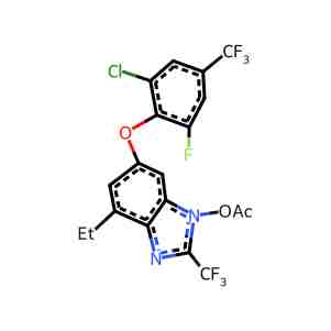 CCc1cc(Oc2c(F)cc(C(F)(F)F)cc2Cl)cc2c1nc(C(F)(F)F)n2OC(C)=O